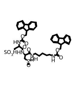 O=C(NCCCCCNC(=O)C(CS(=O)O)NC(=O)C(CS(=O)(=O)O)NC(=O)OCC1c2ccccc2-c2ccccc21)OCC1c2ccccc2-c2ccccc21